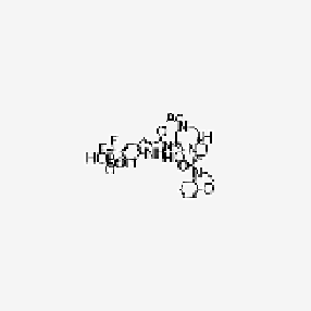 CC(=O)N1CC[C@H]2CC[C@@H](C(=O)N3CCOc4ccccc43)N2C(=O)[C@@H](NC(=O)c2cc3cc(C(F)(F)P(=O)(O)O)ccc3[nH]2)C1